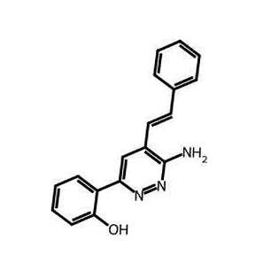 Nc1nnc(-c2ccccc2O)cc1C=Cc1ccccc1